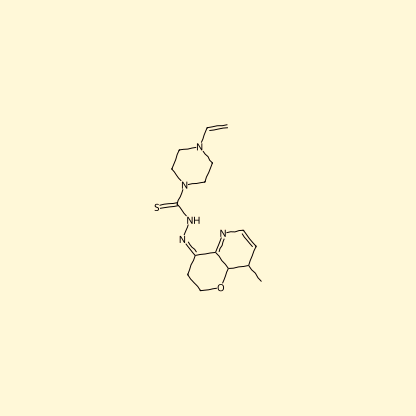 C=CN1CCN(C(=S)N/N=C2/CCOC3C2=NC=CC3C)CC1